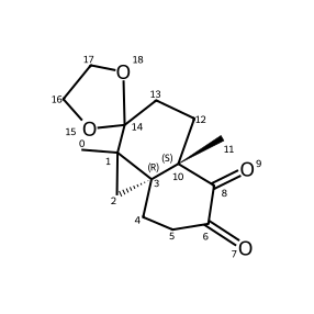 CC12C[C@]13CCC(=O)C(=O)[C@@]3(C)CCC21OCCO1